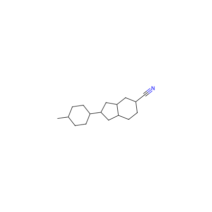 CC1CCC(C2CC3CCC(C#N)CC3C2)CC1